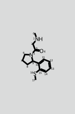 CNCC(=O)N1CCCC1c1ccccc1SC